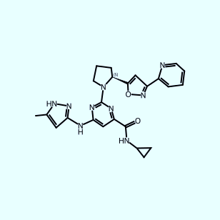 Cc1cc(Nc2cc(C(=O)NC3CC3)nc(N3CCC[C@H]3c3cc(-c4ccccn4)no3)n2)n[nH]1